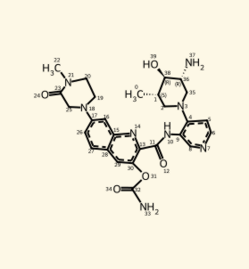 C[C@H]1CN(c2ccncc2NC(=O)c2nc3cc(N4CCN(C)C(=O)C4)ccc3cc2OC(N)=O)C[C@@H](N)[C@@H]1O